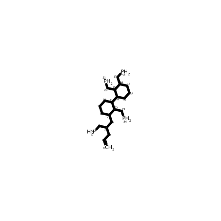 C=CCC(CP)CC1CCCC(C2CCCC(CP)C2CP)C1CP